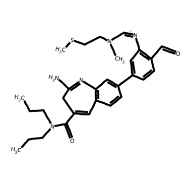 CCCN(CCC)C(=O)C1=Cc2ccc(-c3ccc(C=O)c(/N=C\N(C)CCSC)c3)cc2N=C(N)C1